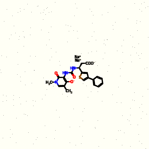 Cc1cn(C)c(=O)c(NC(=O)N[C@@H](CC(=O)[O-])c2cc(-c3ccccc3)cs2)c1[O-].[Na+].[Na+]